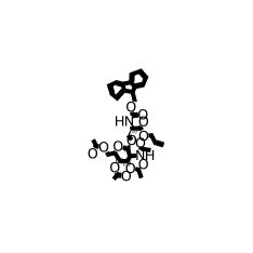 C=CCOC(=O)[C@H](CO[C@@H]1OC(COC(C)=O)[C@@H](OC(C)=O)[C@H](OC(C)=O)C1NC(C)=O)NC(=O)OCC1c2ccccc2-c2ccccc21